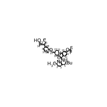 Cc1ccc(CC(C)(C)C)c(NC(=O)c2ccc(OC(F)F)cc2N2CCC(COc3cc(C(CC(=O)O)C4CC4)ccn3)CC2)n1